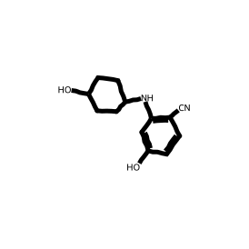 N#Cc1ccc(O)cc1NC1CCC(O)CC1